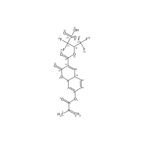 C=C(C)C(=O)OC1=CC2OC(=O)C(C(=O)OC(C(F)(F)F)C(F)(F)S(=O)(=O)O)=CC2C=C1